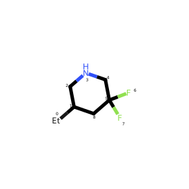 CCC1CNCC(F)(F)C1